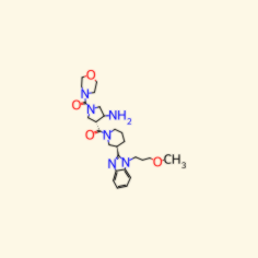 COCCCn1c([C@@H]2CCCN(C(=O)[C@@H]3CN(C(=O)N4CCOCC4)C[C@H]3N)C2)nc2ccccc21